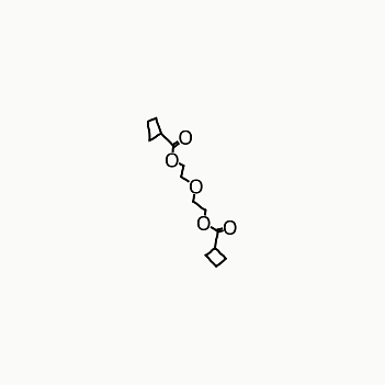 O=C(OCCOCCOC(=O)C1CCC1)C1CCC1